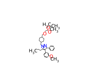 CCCc1c(-c2cccc(OC)c2)c(-c2ccccc2)nn1CC1CCC(COCC(=O)OC(C)(C)C)CC1